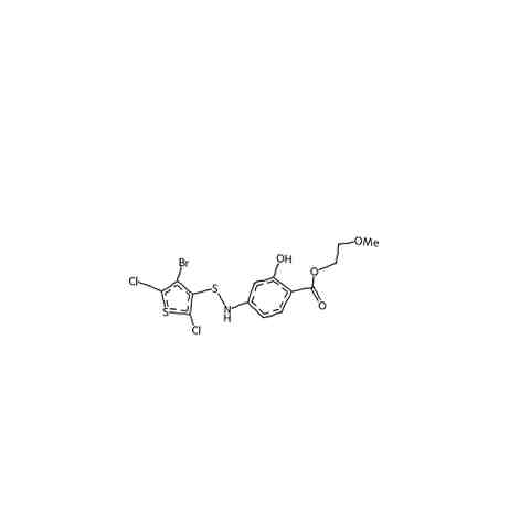 COCCOC(=O)c1ccc(NSc2c(Cl)sc(Cl)c2Br)cc1O